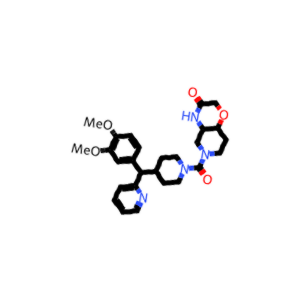 COc1ccc(C(c2ccccn2)C2CCN(C(=O)N3CCC4OCC(=O)NC4C3)CC2)cc1OC